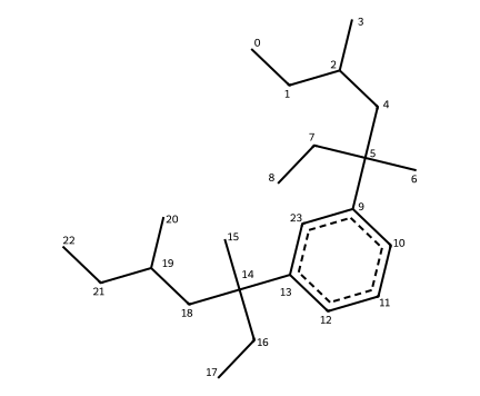 CCC(C)CC(C)(CC)c1cccc(C(C)(CC)CC(C)CC)c1